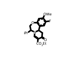 CCOC(=O)C1=CN2C(CC1=O)c1cc(F)c(OC)cc1OCC2C(C)C